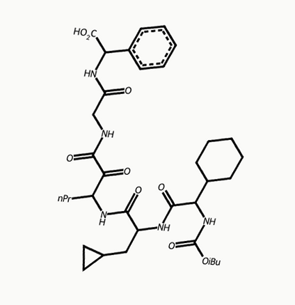 CCCC(NC(=O)C(CC1CC1)NC(=O)C(NC(=O)OCC(C)C)C1CCCCC1)C(=O)C(=O)NCC(=O)NC(C(=O)O)c1ccccc1